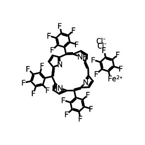 Fc1c(F)c(F)[c]([Fe+2])c(F)c1F.Fc1c(F)c(F)c(-c2c3nc(c(-c4c(F)c(F)c(F)c(F)c4F)c4ccc([nH]4)c(-c4c(F)c(F)c(F)c(F)c4F)c4nc(cc5ccc2[nH]5)C=C4)C=C3)c(F)c1F.[Cl-].[Cl-]